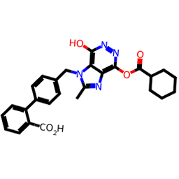 Cc1nc2c(OC(=O)C3CCCCC3)nnc(O)c2n1Cc1ccc(-c2ccccc2C(=O)O)cc1